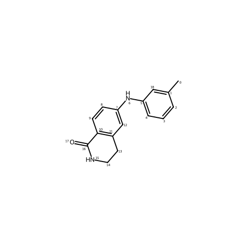 Cc1cccc(Nc2ccc3c(c2)CCNC3=O)c1